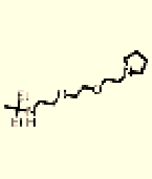 CCC(C)(CC)NCCOCCOCCN1CCCC1